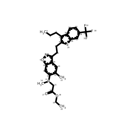 CCCc1c(CCc2noc3cc(N(C)CC(=O)OCC)c(C)cc23)sc2cc(C(F)(F)F)ccc12